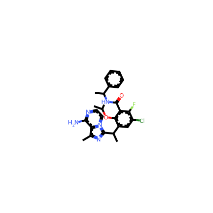 Cc1nc(C(C)c2cc(Cl)c(F)c(C(=O)NC(C)c3ccccc3)c2OC(C)C)n2ccnc(N)c12